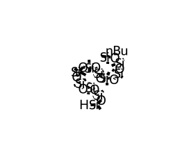 CCCC[Si](C)(C)O[Si](C)(C)O[Si](C)(C)O[Si](C)(C)O[Si](C)(C)O[Si](C)(C)O[Si](C)(C)O[Si](C)(C)O[Si](C)(C)O[Si](C)(C)O[SiH](C)C